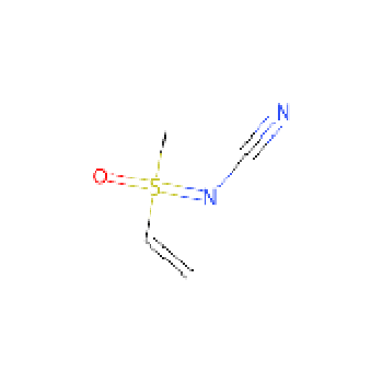 C=CS(C)(=O)=NC#N